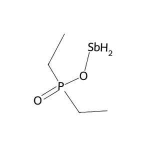 CCP(=O)(CC)[O][SbH2]